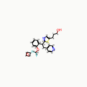 C1C2CC1O2.OCCCc1cnc(C(Cc2ccncc2)c2ccccc2OC(F)F)s1